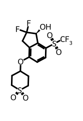 O=S1(=O)CCC(Oc2ccc(S(=O)(=O)C(F)(F)F)c3c2CC(F)(F)[C@H]3O)CC1